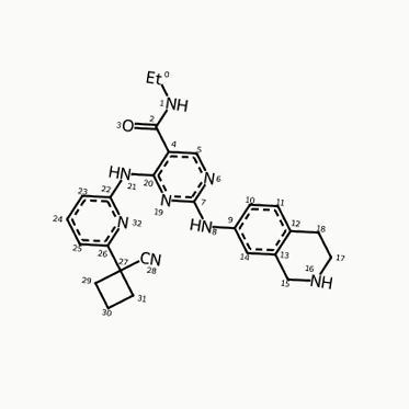 CCNC(=O)c1cnc(Nc2ccc3c(c2)CNCC3)nc1Nc1cccc(C2(C#N)CCC2)n1